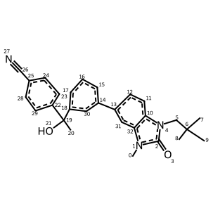 Cn1c(=O)n(CC(C)(C)C)c2ccc(-c3cccc(C(C)(O)c4ccc(C#N)cc4)c3)cc21